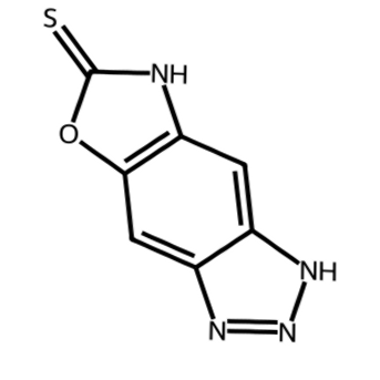 S=c1[nH]c2cc3[nH]nnc3cc2o1